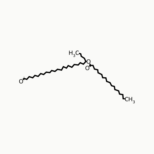 CCCCCCCCCCCCCCCCCC(=O)OC(CCCC)CCCCCCCCCCCCCCCCCCCCC[C]=O